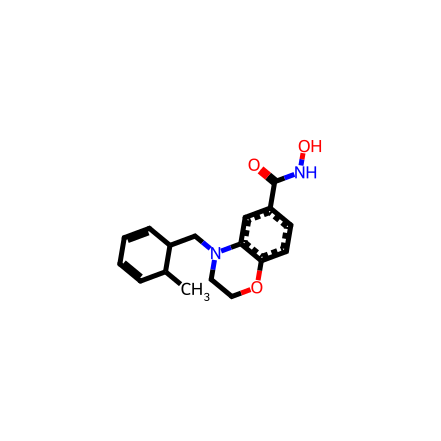 CC1C=CC=CC1CN1CCOc2ccc(C(=O)NO)cc21